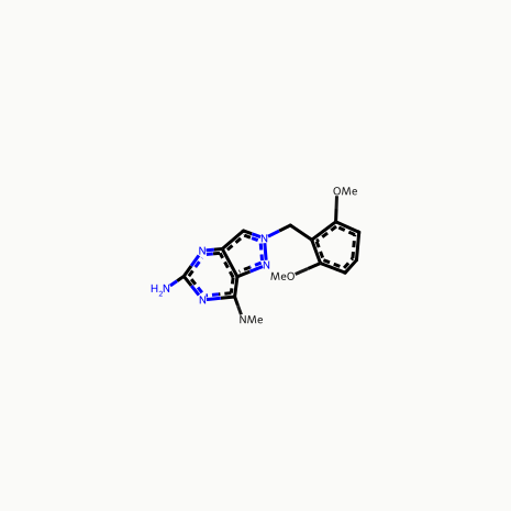 CNc1nc(N)nc2cn(Cc3c(OC)cccc3OC)nc12